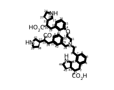 O=C(O)[C@@H](Cc1cccc(CCN(CCOc2cccc(C[C@H](C(=O)O)[C@H]3CCNC3)c2)Cc2cccc(C[C@H](C(=O)O)[C@H]3CCNC3)c2)c1)[C@H]1CCNC1